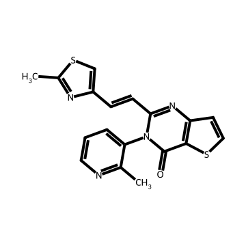 Cc1nc(/C=C/c2nc3ccsc3c(=O)n2-c2cccnc2C)cs1